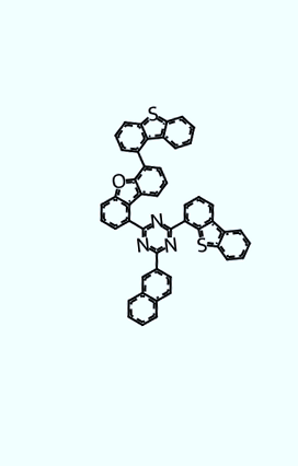 c1ccc2cc(-c3nc(-c4cccc5c4sc4ccccc45)nc(-c4cccc5oc6c(-c7cccc8sc9ccccc9c78)cccc6c45)n3)ccc2c1